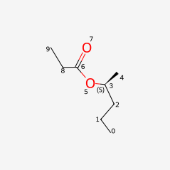 CCC[C@H](C)OC(=O)CC